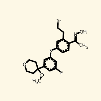 COC1(c2cc(F)cc(Sc3ccc(/C(C)=N/O)c(CCBr)c3)c2)CCOCC1